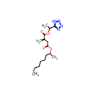 C=C(CC(=O)OC(C)CCCCCC)C(=O)OC(C)c1nnn[nH]1